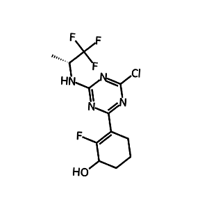 C[C@@H](Nc1nc(Cl)nc(C2=C(F)C(O)CCC2)n1)C(F)(F)F